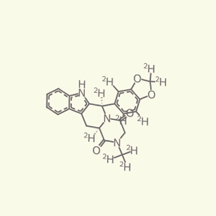 [2H]c1c([2H])c([C@]2([2H])c3[nH]c4ccccc4c3C[C@]3([2H])C(=O)N(C([2H])([2H])[2H])CC(=O)N23)c([2H])c2c1OC([2H])([2H])O2